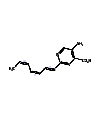 C\C=C/C=C\C=N\c1ncc(N)c(C(=O)O)n1